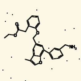 CCOC(=O)Cc1ccccc1OCc1cc(-c2cccc(CN)c2)c2occ(C)c2c1